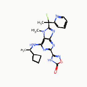 CC(Nc1nc(-c2noc(=O)[nH]2)nc2nc(C(C)(F)c3ccccn3)n(C)c12)C1CCC1